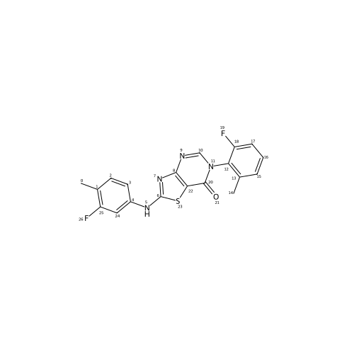 Cc1ccc(Nc2nc3ncn(-c4c(C)cccc4F)c(=O)c3s2)cc1F